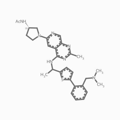 CC(=O)N[C@H]1CCN(c2cc3c(NC(C)c4ccc(-c5ccccc5CN(C)C)s4)nc(C)nc3cn2)C1